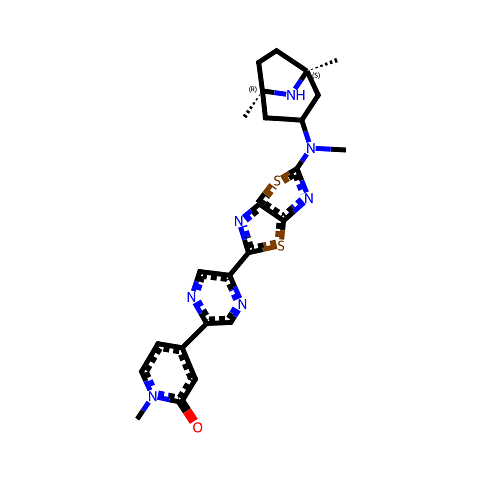 CN(c1nc2sc(-c3cnc(-c4ccn(C)c(=O)c4)cn3)nc2s1)C1C[C@]2(C)CC[C@](C)(C1)N2